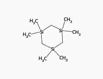 C[Si]1(C)C[Si](C)(C)C[Si](C)(C)C1